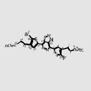 CCCCCCCCCCCCc1cc(-c2nnc(-c3cc(CCCCCCCCCCCC)c(Br)s3)c3snnc23)sc1Br